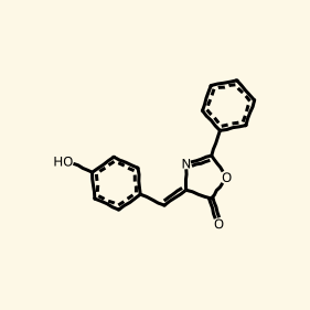 O=C1OC(c2ccccc2)=NC1=Cc1ccc(O)cc1